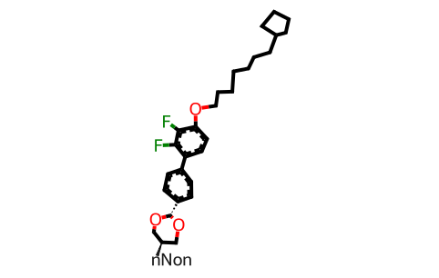 CCCCCCCCC[C@H]1CO[C@H](c2ccc(-c3ccc(OCCCCCCCC4CCCC4)c(F)c3F)cc2)OC1